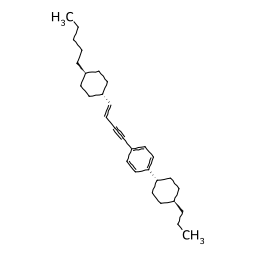 CCCCC[C@H]1CC[C@H](C=CC#Cc2ccc([C@H]3CC[C@H](CCC)CC3)cc2)CC1